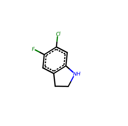 Fc1cc2c(cc1Cl)NCC2